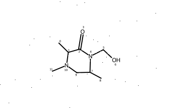 CC1C(=O)N(CO)C(C)CN1C